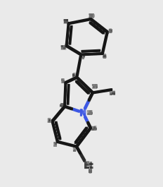 CCc1ccc2cc(-c3ccccc3)c(C)n2c1